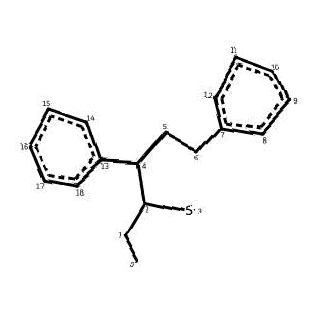 CCC([S])C(CCc1ccccc1)c1ccccc1